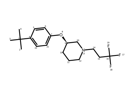 CC(C)(C)c1ccc(O[C@@H]2CCCN(CCC(F)(F)F)C2)cc1